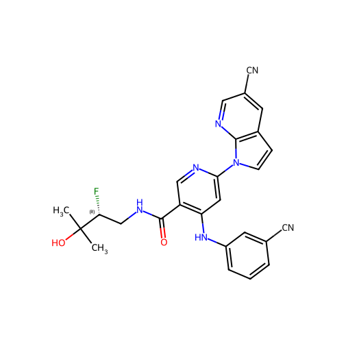 CC(C)(O)[C@H](F)CNC(=O)c1cnc(-n2ccc3cc(C#N)cnc32)cc1Nc1cccc(C#N)c1